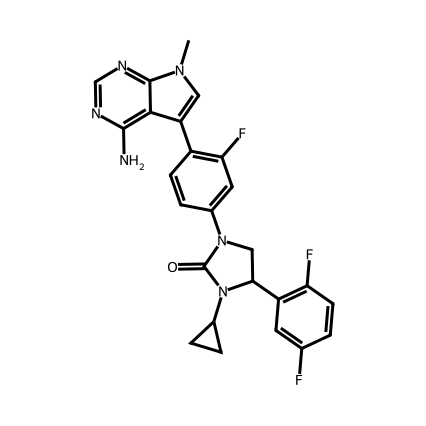 Cn1cc(-c2ccc(N3CC(c4cc(F)ccc4F)N(C4CC4)C3=O)cc2F)c2c(N)ncnc21